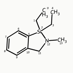 CC[Si]1(CC)c2ccccc2CN1C